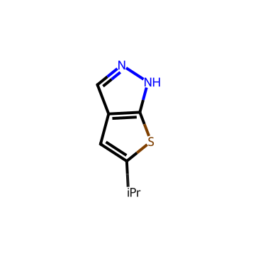 CC(C)c1cc2cn[nH]c2s1